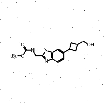 CC(C)(C)OC(=O)NCc1nc2ccc(C3CC(CO)C3)cc2s1